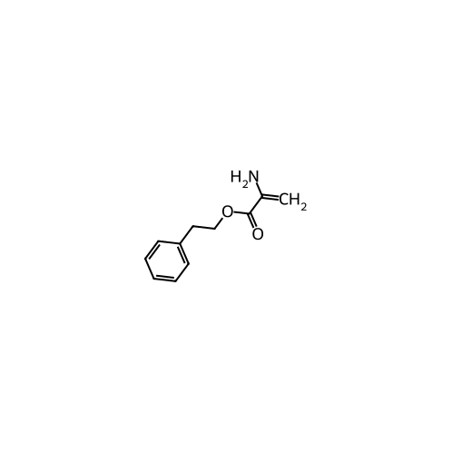 C=C(N)C(=O)OCCc1ccccc1